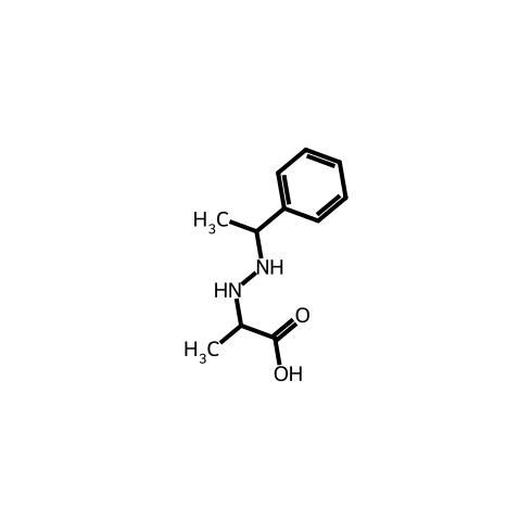 CC(NNC(C)c1ccccc1)C(=O)O